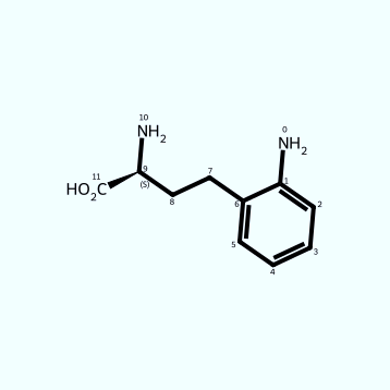 Nc1ccccc1CC[C@H](N)C(=O)O